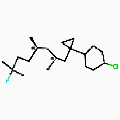 C[C@H](CCC(C)(C)F)C[C@@H](C)CC1(C2CCC(Cl)CC2)CC1